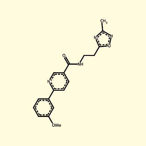 COc1cccc(-c2ccc(C(=O)NCCc3nc(C)no3)cn2)c1